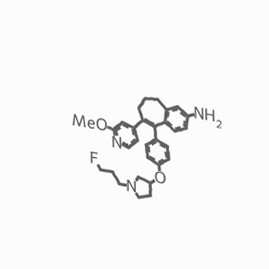 COc1cc(C2=C(c3ccc(OC4CCN(CCCF)C4)cc3)c3ccc(N)cc3CCC2)ccn1